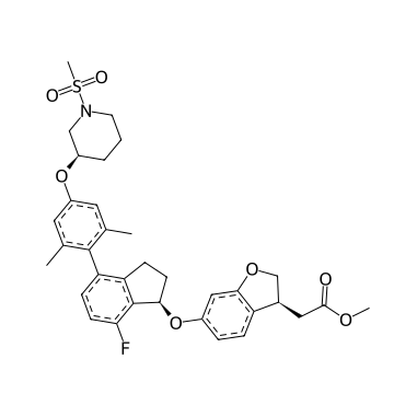 COC(=O)C[C@@H]1COc2cc(O[C@@H]3CCc4c(-c5c(C)cc(O[C@@H]6CCCN(S(C)(=O)=O)C6)cc5C)ccc(F)c43)ccc21